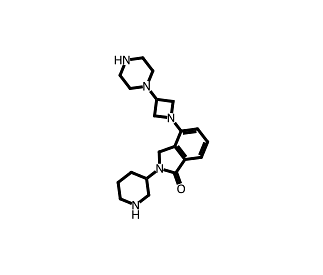 O=C1c2cccc(N3CC(N4CCNCC4)C3)c2CN1C1CCCNC1